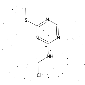 CSc1ncnc(NCCl)n1